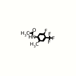 CC(=O)Nc1cc(F)c(C(F)(F)F)cc1C